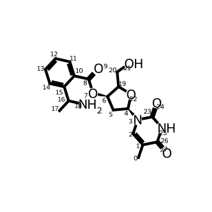 Cc1cn([C@H]2C[C@@H](OC(=O)c3ccccc3C(C)N)C(CO)O2)c(=O)[nH]c1=O